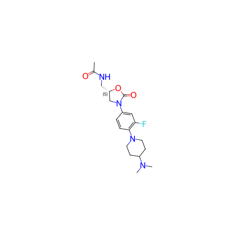 CC(=O)NC[C@H]1CN(c2ccc(N3CCC(N(C)C)CC3)c(F)c2)C(=O)O1